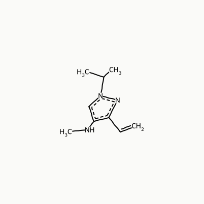 C=Cc1nn(C(C)C)cc1NC